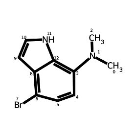 CN(C)c1ccc(Br)c2cc[nH]c12